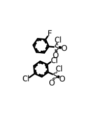 O=S(=O)(Cl)c1cc(Cl)ccc1Cl.O=S(=O)(Cl)c1ccccc1F